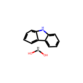 OBO.c1ccc2c(c1)[nH]c1ccccc12